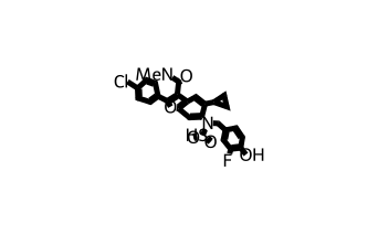 CNC(=O)c1c(-c2ccc(Cl)cc2)oc2cc(N(Cc3ccc(O)c(F)c3)[SH](=O)=O)c(C3CC3)cc12